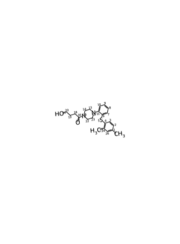 Cc1ccc(Sc2ccccc2N2CCN(C(=O)CCCO)CC2)c(C)c1